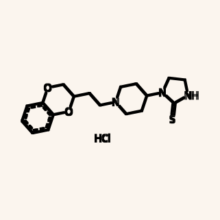 Cl.S=C1NCCN1C1CCN(CCC2COc3ccccc3O2)CC1